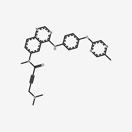 Cc1cnc(Oc2ccc(Nc3ncnc4ccc(N(C)C(=O)C#CCN(C)C)cc34)cc2)cn1